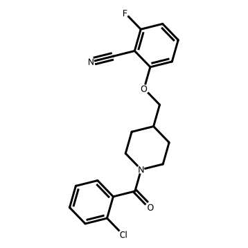 N#Cc1c(F)cccc1OCC1CCN(C(=O)c2ccccc2Cl)CC1